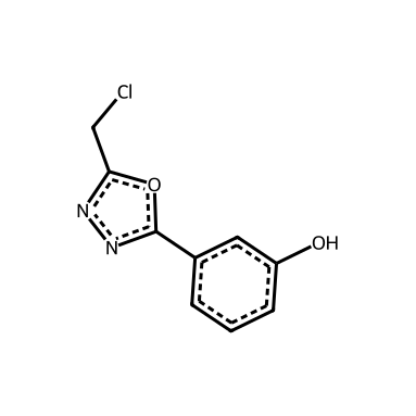 Oc1cccc(-c2nnc(CCl)o2)c1